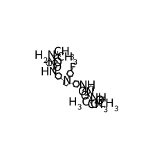 COC(=O)N[C@H](C(=O)N1CCC[C@H]1C(=O)Nc1ccc([C@@H]2CC[C@@H](c3ccc(NC(=O)[C@@H]4CCCN4C(=O)[C@@H](N)C(C)C)cc3)N2c2ccc(F)cc2)cc1)C(C)C